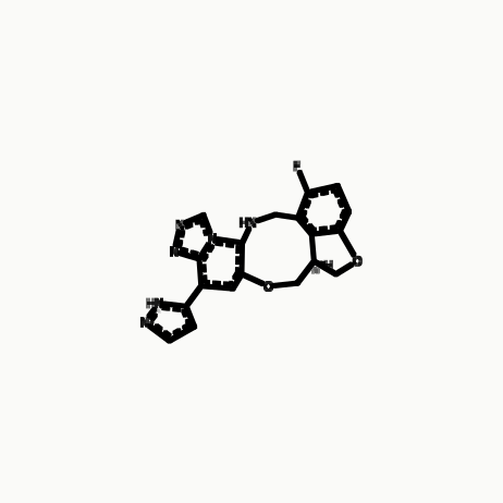 Fc1ccc2c3c1CNc1c(cc(-c4ccn[nH]4)c4nncn14)OC[C@@H]3CO2